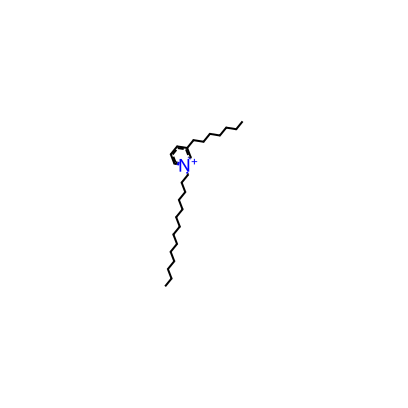 CCCCCCCCCCCCCC[n+]1cccc(CCCCCCC)c1